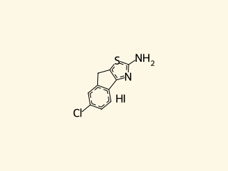 I.Nc1nc2c(s1)Cc1cc(Cl)ccc1-2